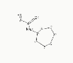 C=CC(=O)NC1CCCCCC1